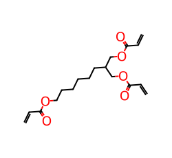 C=CC(=O)OCCCCCCC(COC(=O)C=C)COC(=O)C=C